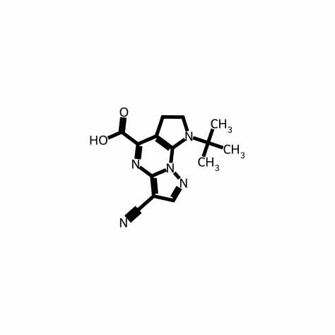 CC(C)(C)N1CCc2c(C(=O)O)nc3c(C#N)cnn3c21